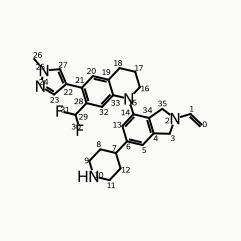 C=CN1Cc2cc(C3CCNCC3)cc(N3CCCc4cc(-c5cnn(C)c5)c(C(F)F)cc43)c2C1